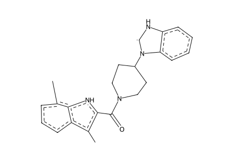 Cc1c(C(=O)N2CCC(N3[CH]Nc4ccccc43)CC2)[nH]c2c(C)cccc12